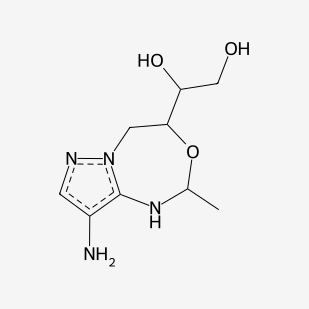 CC1Nc2c(N)cnn2CC(C(O)CO)O1